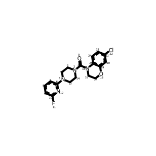 O=C(N1CCN(c2cccc(F)n2)CC1)N1CCOc2cc(Cl)ccc21